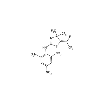 O=[N+]([O-])c1cc([N+](=O)[O-])c(NC2=NC(C(F)(F)F)(C(F)(F)F)/C(=C(\F)C(F)(F)F)S2)c([N+](=O)[O-])c1